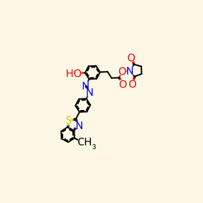 Cc1cccc2sc(-c3ccc(/N=N/c4cc(CCC(=O)ON5C(=O)CCC5=O)ccc4O)cc3)nc12